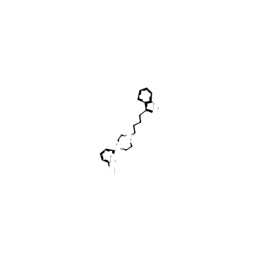 FC(F)(F)c1cccc(N2CCN(CCCCc3c[nH]c4ccccc34)CC2)n1